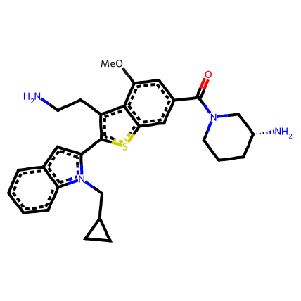 COc1cc(C(=O)N2CCC[C@@H](N)C2)cc2sc(-c3cc4ccccc4n3CC3CC3)c(CCN)c12